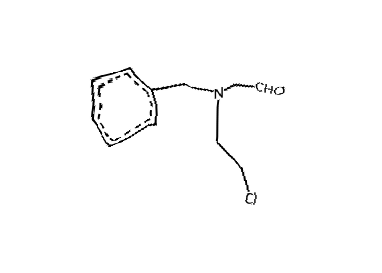 O=CN(CCCl)Cc1ccccc1